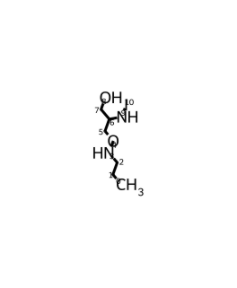 CCCNOCC(CO)NI